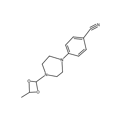 CC1OC(N2CCN(c3ccc(C#N)cc3)CC2)O1